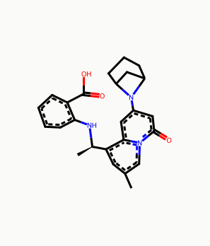 Cc1cc([C@@H](C)Nc2ccccc2C(=O)O)c2cc(N3C4CCCC3C4)cc(=O)n2c1